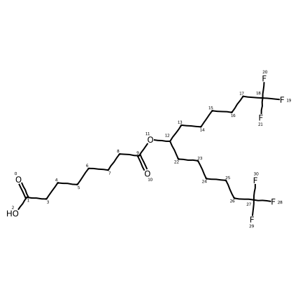 O=C(O)CCCCCCC(=O)OC(CCCCCC(F)(F)F)CCCCCC(F)(F)F